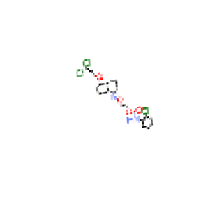 O=C(Nc1ccccc1Cl)OCCON=C1CCCc2c(OCC=C(Cl)Cl)cccc21